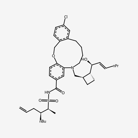 C=CC[C@H](CCCC)[C@H](C)S(=O)(=O)NC(=O)c1ccc2c(c1)N(C[C@@H]1CC[C@H]1[C@@H](O)/C=C/CCC)CCCCc1cc(Cl)ccc1CO2